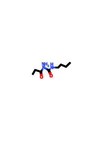 CCCCNC(=O)N(N)C(=O)CC